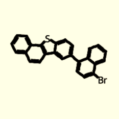 Brc1ccc(-c2ccc3sc4c5ccccc5ccc4c3c2)c2ccccc12